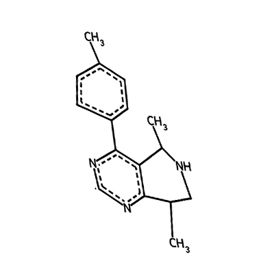 Cc1ccc(-c2n[c]nc3c2C(C)NCC3C)cc1